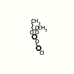 CCCCC(Oc1ccc(OCc2ccc(Cl)cc2)cc1)C(=O)OC